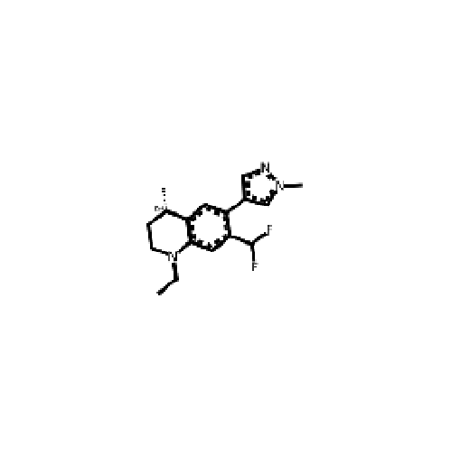 CCN1CC[C@H](C)c2cc(-c3cnn(C)c3)c(C(F)F)cc21